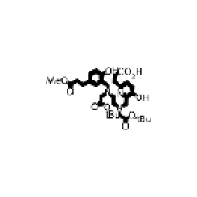 COC(=O)CCc1ccc(O)c(CN(CCN(CC(=O)OC(C)(C)C)Cc2nc(CCC(=O)O)ccc2O)CC(=O)OC(C)(C)C)c1